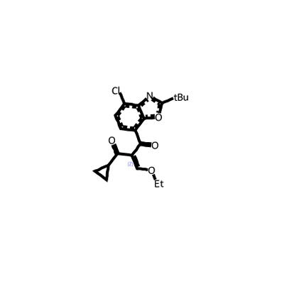 CCO/C=C(\C(=O)c1ccc(Cl)c2nc(C(C)(C)C)oc12)C(=O)C1CC1